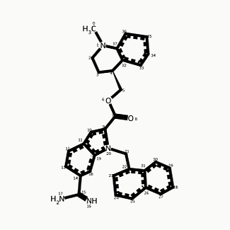 CN1CC[C@H](COC(=O)c2cc3ccc(C(=N)N)cc3n2Cc2cccc3ccccc23)c2ccccc21